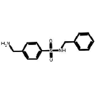 NCc1ccc(S(=O)(=O)NCc2ccccc2)cc1